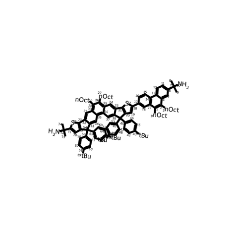 CCCCCCCCc1c(CCCCCCCC)c2cc(C(C)(C)N)ccc2c2ccc(-c3cc4c(s3)-c3cc5c(CCCCCCCC)c(CCCCCCCC)c6cc7c(cc6c5cc3C4(c3ccc(C(C)(C)C)cc3)c3ccc(C(C)(C)C)cc3)C(c3ccc(C(C)(C)C)cc3)(c3ccc(C(C)(C)C)cc3)c3cc(C(C)(C)N)sc3-7)cc12